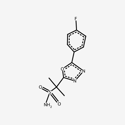 CC(C)(c1nnc(-c2ccc(F)cc2)o1)S(N)(=O)=O